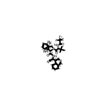 CC(C)(C)[C@H](NC(=O)C(F)(F)F)C(=O)N1C[C@H]2[C@@H]([C@H]1C(=O)NC(C#N)c1cncc3ccccc13)[C@H]1C=C[C@@H]2C1